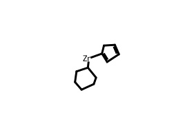 C1=CC[C]([Zr][CH]2CCCCC2)=C1